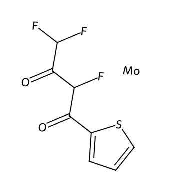 O=C(c1cccs1)C(F)C(=O)C(F)F.[Mo]